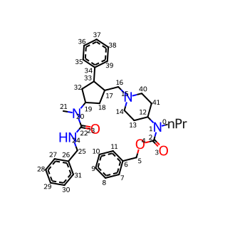 CCCN(C(=O)OCc1ccccc1)C1CCN(CC2CC(N(C)C(=O)NCc3ccccc3)CC2c2ccccc2)CC1